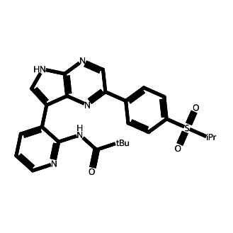 CC(C)S(=O)(=O)c1ccc(-c2cnc3[nH]cc(-c4cccnc4NC(=O)C(C)(C)C)c3n2)cc1